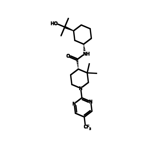 CC(C)(O)[C@H]1CCC[C@H](NC(=O)[C@H]2CCN(c3ncc(C(F)(F)F)cn3)CC2(C)C)C1